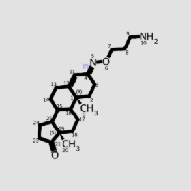 C[C@]12CC/C(=N\OCCCN)C=C1CCC1C2CC[C@]2(C)C(=O)CCC12